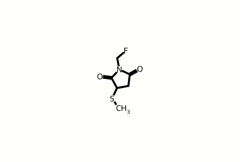 CSC1CC(=O)N(CF)C1=O